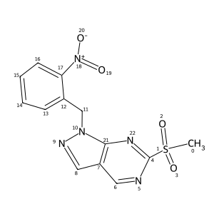 CS(=O)(=O)c1ncc2cnn(Cc3ccccc3[N+](=O)[O-])c2n1